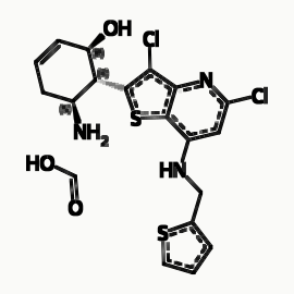 N[C@H]1CC=C[C@@H](O)[C@@H]1c1sc2c(NCc3cccs3)cc(Cl)nc2c1Cl.O=CO